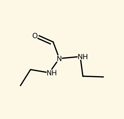 CCNN(C=O)NCC